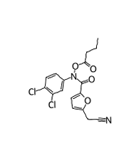 CCCC(=O)ON(C(=O)c1ccc(CC#N)o1)c1ccc(Cl)c(Cl)c1